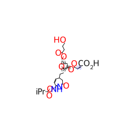 CC(C)C(=O)ONC1=NC(=O)CC(CC[C@@H]2O[C@H](COC(=O)CCCO)C[C@H]2OC(=O)/C=C\C(=O)O)C=C1